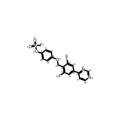 O=S(=O)(F)Oc1ccc(OCc2c(F)cc(-c3ccncn3)cc2F)cc1